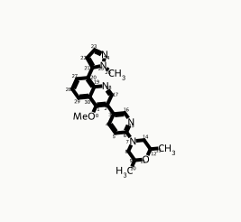 COc1c(-c2ccc(N3CC(C)OC(C)C3)nc2)cnc2c(-c3ccnn3C)cccc12